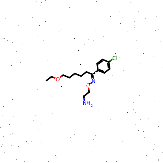 CCOCCCCCC(=NOCCN)c1ccc(Cl)cc1